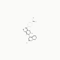 N=C(NO)N1CCN(c2ncnc3c(F)c(-c4cc(O)cc5ccccc45)c(Cl)cc23)CC1